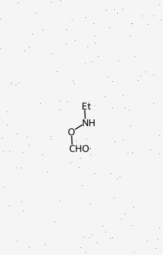 CCNO[C]=O